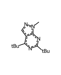 Cn1ncc2c(C(C)(C)C)nc(C(C)(C)C)nc21